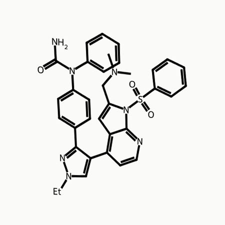 CCn1cc(-c2ccnc3c2cc(CN(C)C)n3S(=O)(=O)c2ccccc2)c(-c2ccc(N(C(N)=O)c3ccccc3)cc2)n1